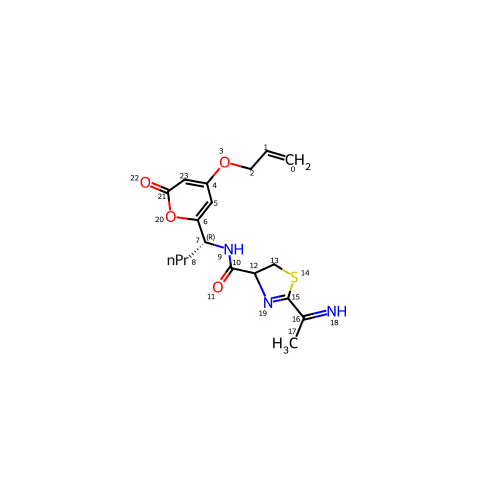 C=CCOc1cc([C@@H](CCC)NC(=O)C2CSC(C(C)=N)=N2)oc(=O)c1